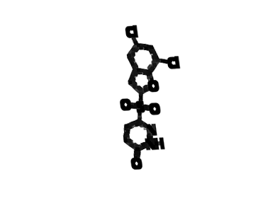 O=c1ccc(S(=O)(=O)c2cc3cc(Cl)cc(Cl)c3o2)n[nH]1